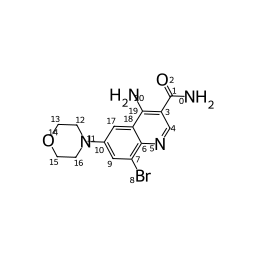 NC(=O)c1cnc2c(Br)cc(N3CCOCC3)cc2c1N